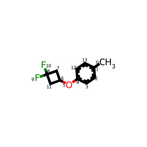 Cc1ccc(OC2CC(F)(F)C2)cc1